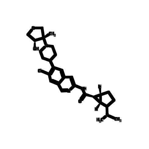 CN(C)C1CC[C@@H]2[C@H](C(=O)Nc3cc4cc(C5CCN([C@@]6(C)COC[C@H]6O)CC5)c(Cl)cc4cn3)[C@H]12